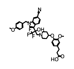 COc1ccc(Cn2cc(C(O)(CN3CCC(Oc4ccc(CCC(=O)O)cc4OC)CC3)C(F)(F)F)c3ccc(C#N)cc32)cc1